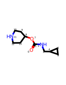 O=C(NCC1CC1)OC1CCNCC1